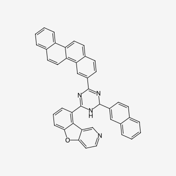 c1ccc2cc(C3N=C(c4ccc5ccc6c7ccccc7ccc6c5c4)N=C(c4cccc5oc6ccncc6c45)N3)ccc2c1